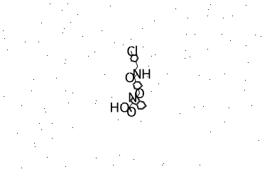 O=C(NCCc1ccc(Cl)cc1)c1ccc(Oc2ncc(C(=O)O)c3ccccc23)cc1